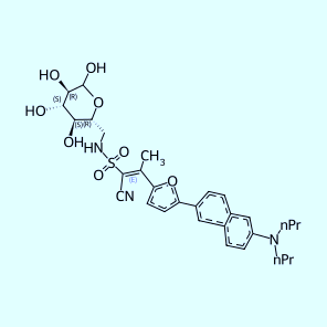 CCCN(CCC)c1ccc2cc(-c3ccc(/C(C)=C(\C#N)S(=O)(=O)NC[C@H]4OC(O)[C@H](O)[C@@H](O)[C@@H]4O)o3)ccc2c1